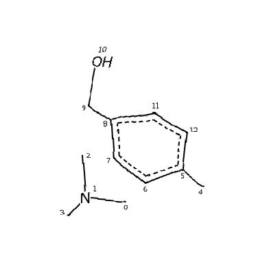 CN(C)C.Cc1ccc(CO)cc1